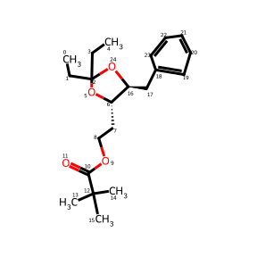 CCC1(CC)O[C@@H](CCOC(=O)C(C)(C)C)[C@H](Cc2ccccc2)O1